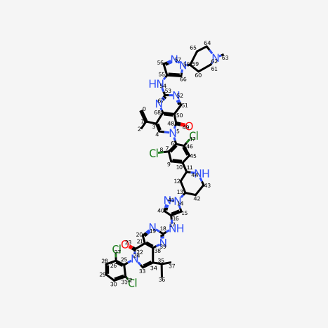 C=C(C)c1cn(-c2c(Cl)cc(C3CC(n4cc(Nc5ncc6c(=O)n(-c7c(Cl)cccc7Cl)cc(C(C)C)c6n5)cn4)CCN3)cc2Cl)c(=O)c2cnc(Nc3cnn(C4CCN(C)CC4)c3)nc12